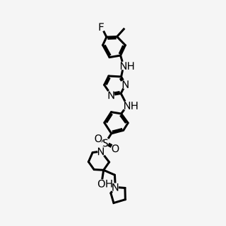 Cc1cc(Nc2ccnc(Nc3ccc(S(=O)(=O)N4CCCC(O)(CN5CCCC5)C4)cc3)n2)ccc1F